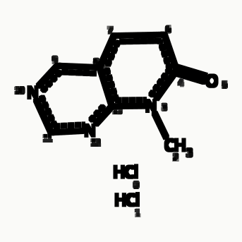 Cl.Cl.Cn1c(=O)ccc2cncnc21